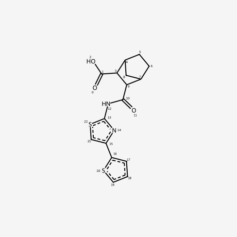 O=C(O)C1C2CCC(C2)C1C(=O)Nc1nc(-c2cccs2)cs1